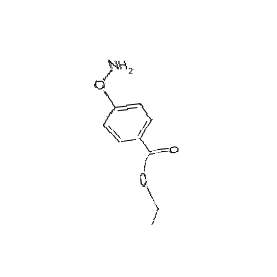 CCOC(=O)c1ccc(ON)cc1